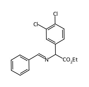 CCOC(=O)C(N=Cc1ccccc1)c1ccc(Cl)c(Cl)c1